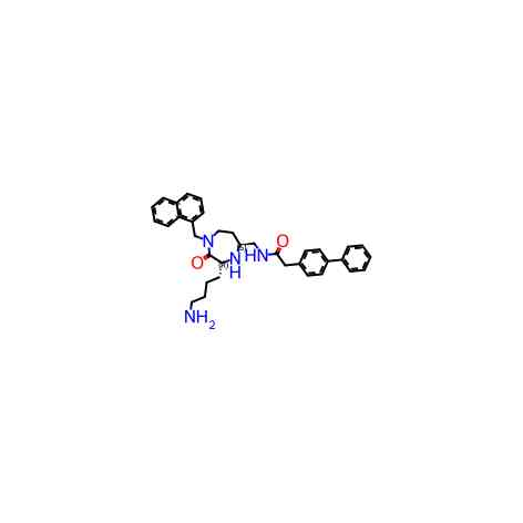 NCCCC[C@H]1N[C@H](CNC(=O)Cc2ccc(-c3ccccc3)cc2)CCN(Cc2cccc3ccccc23)C1=O